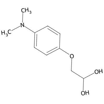 CN(C)c1ccc(OCC(O)O)cc1